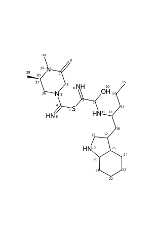 C=C1CN(C(=N)SC(=N)C(O)NC(CCC)CC2CNC3CCCCC23)C[C@@H](C)N1C